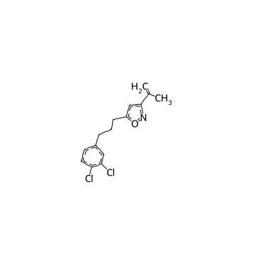 C=C(C)c1cc(CCCc2ccc(Cl)c(Cl)c2)on1